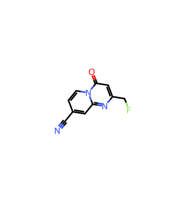 N#Cc1ccn2c(=O)cc(CF)nc2c1